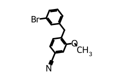 COc1cc(C#N)ccc1Cc1cccc(Br)c1